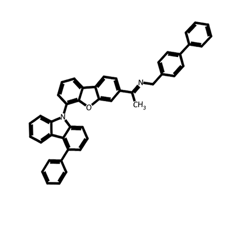 C/C(=N\Cc1ccc(-c2ccccc2)cc1)c1ccc2c(c1)oc1c(-n3c4ccccc4c4c(-c5ccccc5)cccc43)cccc12